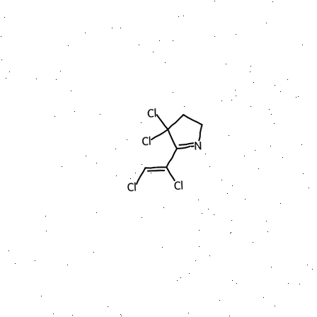 ClC=C(Cl)C1=NCCC1(Cl)Cl